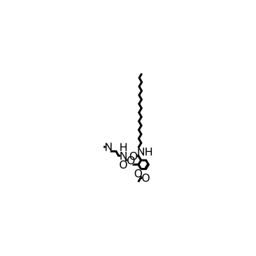 CCCCCCCCCCCCCCCCCCNC(=O)C1CC=CC(OC(C)=O)C1COC(=O)NCCCN(C)C